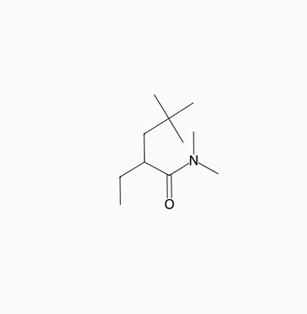 CCC(CC(C)(C)C)C(=O)N(C)C